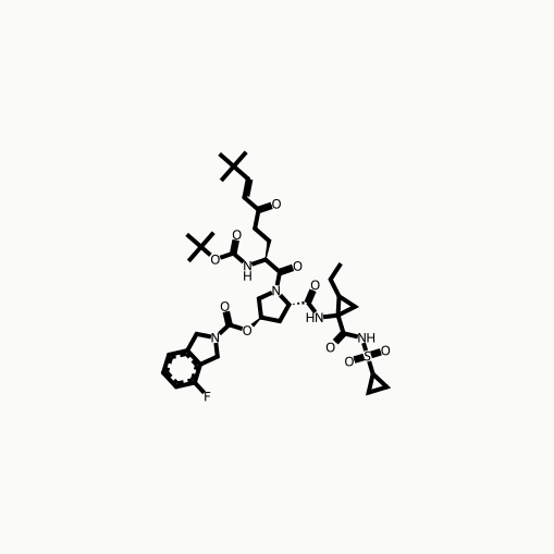 CCC1CC1(NC(=O)[C@@H]1C[C@@H](OC(=O)N2Cc3cccc(F)c3C2)CN1C(=O)[C@H](CCC(=O)/C=C/C(C)(C)C)NC(=O)OC(C)(C)C)C(=O)NS(=O)(=O)C1CC1